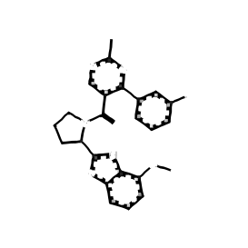 CSc1cccc2nc(C3CCCN3C(=O)c3cnc(C)nc3-c3cccc(Cl)c3)[nH]c12